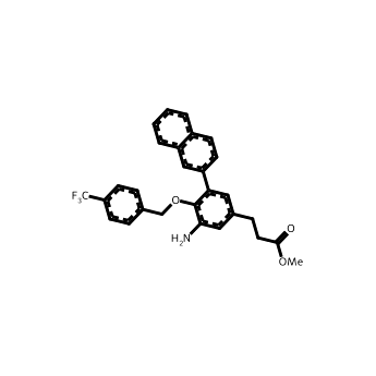 COC(=O)CCc1cc(N)c(OCc2ccc(C(F)(F)F)cc2)c(-c2ccc3ccccc3c2)c1